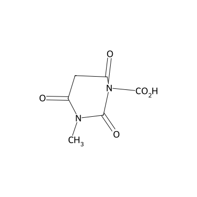 CN1C(=O)CC(=O)N(C(=O)O)C1=O